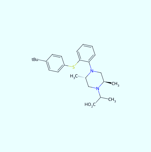 CC(C(=O)O)N1C[C@H](C)N(c2ccccc2Sc2ccc(C(C)(C)C)cc2)C[C@H]1C